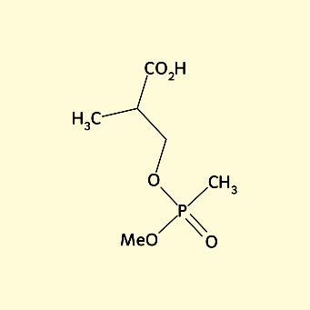 COP(C)(=O)OCC(C)C(=O)O